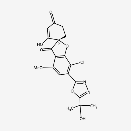 COc1cc(-c2nnc(C(C)(C)O)o2)c(Cl)c2c1C(=O)[C@@]1(CCC(=O)C=C1O)O2